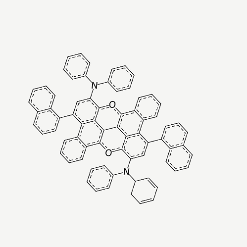 C1=CCC(N(c2ccccc2)c2cc(-c3cccc4ccccc34)c3c4ccccc4c4oc5c(N(c6ccccc6)c6ccccc6)cc(-c6cccc7ccccc67)c6c7ccccc7c7oc2c3c4-c7c56)C=C1